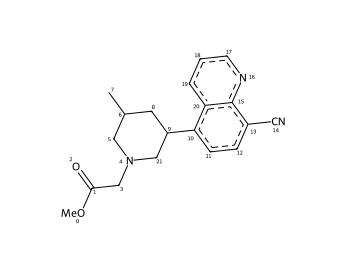 COC(=O)CN1CC(C)CC(c2ccc(C#N)c3ncccc23)C1